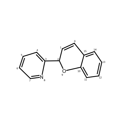 C1=CC(c2ccccn2)Oc2ccccc21